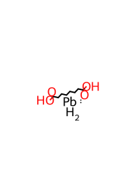 O=C(O)CCCCCCC(=O)O.[PbH2]